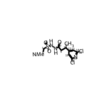 CNCS(=O)(=O)NNC(=O)C[C@H](C)c1cc(Cl)nc(Cl)c1